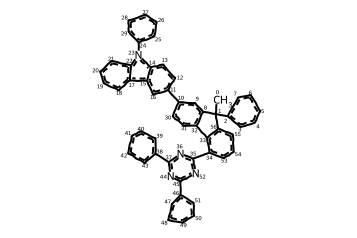 CC1(c2ccccc2)c2cc(-c3ccc4c(c3)c3ccccc3n4-c3ccccc3)ccc2-c2c(-c3nc(-c4ccccc4)nc(-c4ccccc4)n3)cccc21